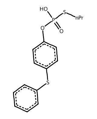 CCCSP(=O)(O)Oc1ccc(Sc2ccccc2)cc1